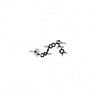 Cn1cnc(C2CC3CC(O)(C#CC4(O)CC5(CCN(C(=O)OC(C)(C)C)C5)C4)CC3C2)c1C(=O)Nc1ccc(F)c(Cl)c1